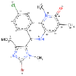 CCOC(=O)c1nc(Br)n(C)c1C(Nc1cc(C)c(=O)n(C)c1)c1ccc(Cl)cc1